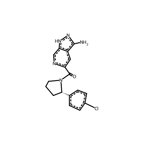 Nc1n[nH]c2cnc(C(=O)N3CCC[C@H]3c3ccc(Cl)cc3)cc12